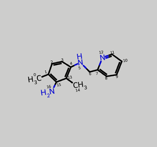 Cc1ccc(NCc2ccccn2)c(C)c1N